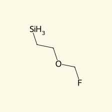 FCOCC[SiH3]